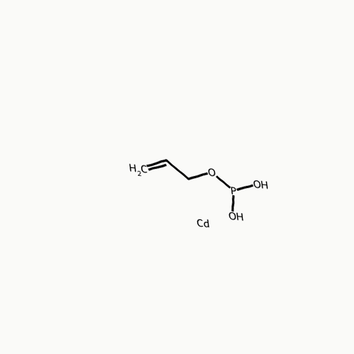 C=CCOP(O)O.[Cd]